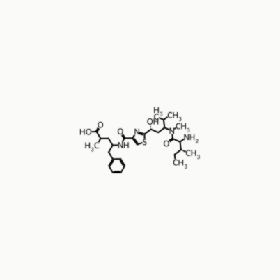 CC[C@H](C)C(N)C(=O)N(C)C(C[C@@H](O)c1nc(C(=O)NC(Cc2ccccc2)CC(C)C(=O)O)cs1)C(C)C